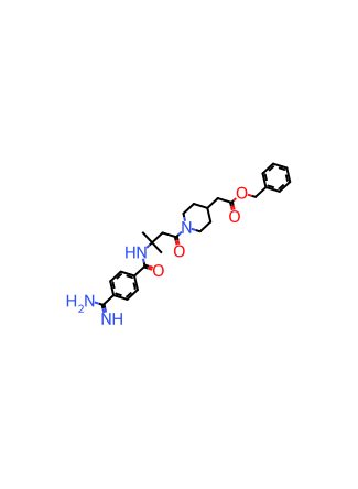 CC(C)(CC(=O)N1CCC(CC(=O)OCc2ccccc2)CC1)NC(=O)c1ccc(C(=N)N)cc1